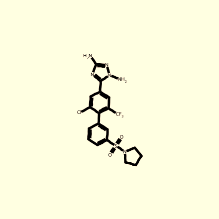 Nc1nc(-c2cc(Cl)c(-c3cccc(S(=O)(=O)N4CCCC4)c3)c(C(F)(F)F)c2)n(N)n1